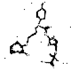 CC1CCC(N(CCCSc2ccccc2Cl)C(=O)Nc2ncc(SC(C)(C)C(=O)O)s2)CC1